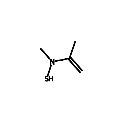 C=C(C)N(C)S